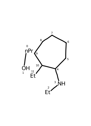 CCCO.CCNC1CCCCCC1CC